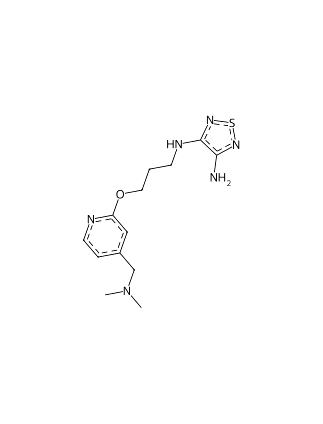 CN(C)Cc1ccnc(OCCCNc2nsnc2N)c1